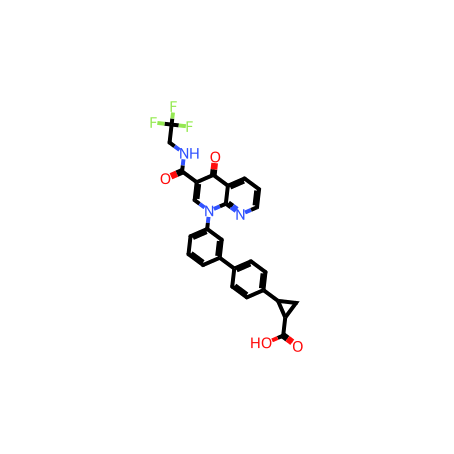 O=C(NCC(F)(F)F)c1cn(-c2cccc(-c3ccc(C4CC4C(=O)O)cc3)c2)c2ncccc2c1=O